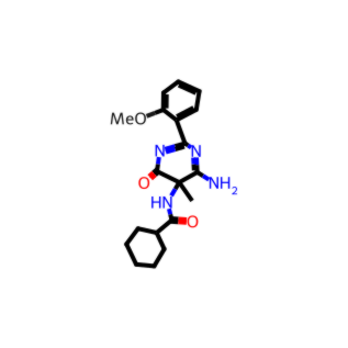 COc1ccccc1C1=NC(=O)C(C)(NC(=O)C2CCCCC2)C(N)=N1